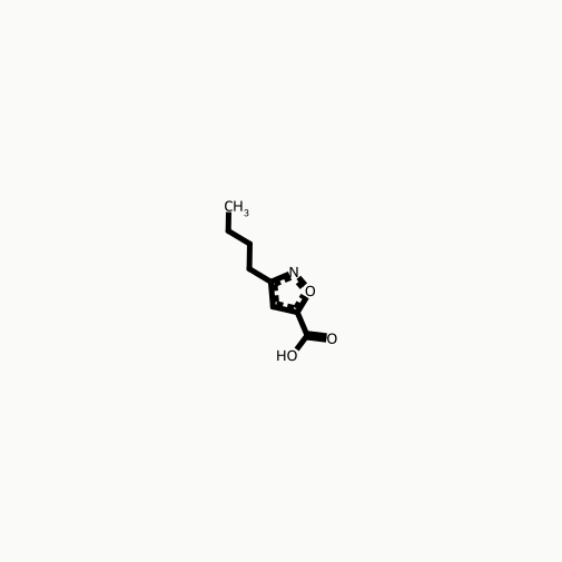 CCCCc1cc(C(=O)O)on1